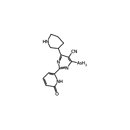 N#Cc1c([AsH2])nc(-c2cccc(=O)[nH]2)nc1C1CCCNC1